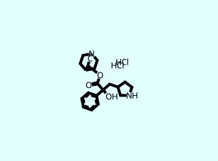 Cl.Cl.O=C(OC1CN2CCC1CC2)C(O)(CC1CCNC1)c1ccccc1